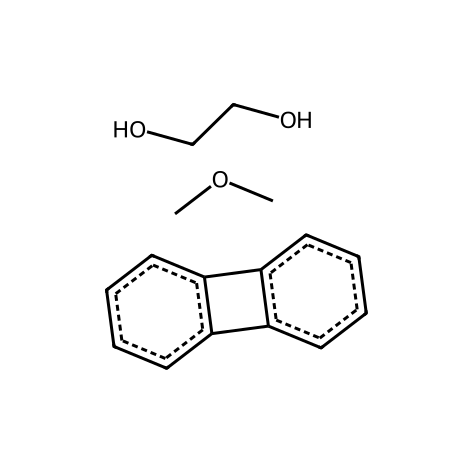 COC.OCCO.c1ccc2c(c1)-c1ccccc1-2